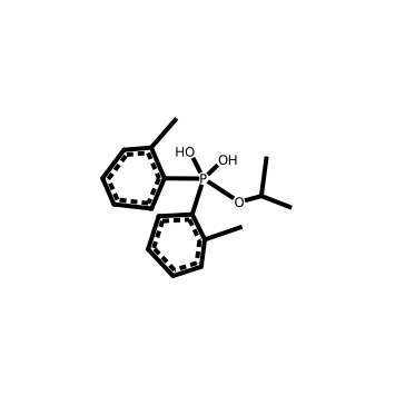 Cc1ccccc1P(O)(O)(OC(C)C)c1ccccc1C